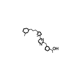 Cc1cccc(CCCc2ccc(-c3ccnc(Cc4cccc(C(C)O)c4)n3)s2)c1